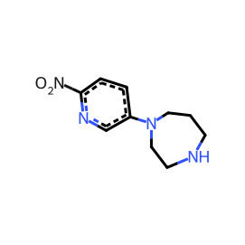 O=[N+]([O-])c1ccc(N2CCCNCC2)cn1